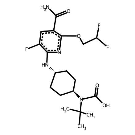 CC(C)(C)N(C(=O)O)[C@H]1CC[C@H](Nc2nc(OCC(F)F)c(C(N)=O)cc2F)CC1